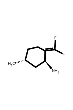 C[C@@H]1CCC(=C(F)F)[C@@H](N)C1